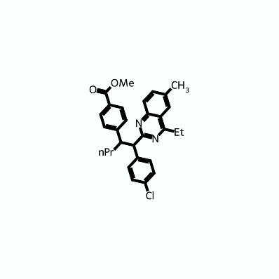 CCCC(c1ccc(C(=O)OC)cc1)C(c1ccc(Cl)cc1)c1nc(CC)c2cc(C)ccc2n1